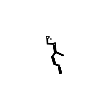 C=N/C=C\C(C)=N/CC(F)(F)F